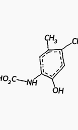 Cc1cc(O)c(NC(=O)O)cc1C